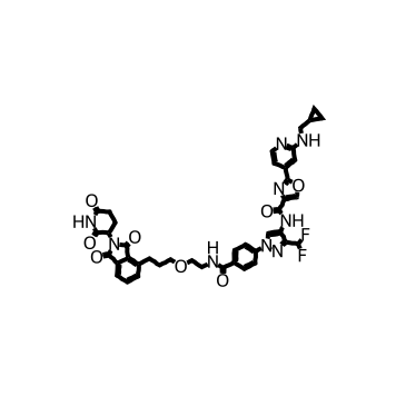 O=C1CCC(N2C(=O)c3cccc(CCCOCCNC(=O)c4ccc(-n5cc(NC(=O)c6coc(-c7ccnc(NCC8CC8)c7)n6)c(C(F)F)n5)cc4)c3C2=O)C(=O)N1